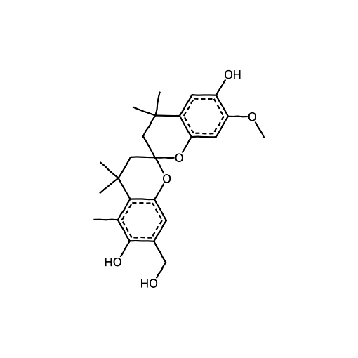 COc1cc2c(cc1O)C(C)(C)CC1(CC(C)(C)c3c(cc(CO)c(O)c3C)O1)O2